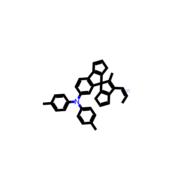 C/C=C\C1=C(C)C2(C3=C1C=CC3)C1=C(C=CC1)c1ccc(N(c3ccc(C)cc3)c3ccc(C)cc3)cc12